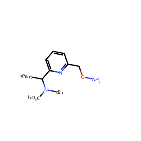 CCCCCC(c1cccc(CON)n1)N(C(=O)O)C(C)(C)C